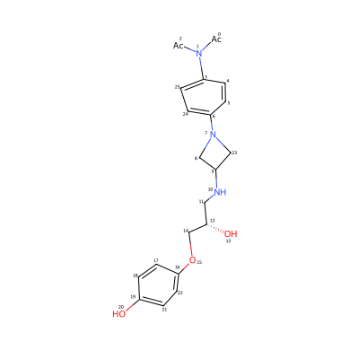 CC(=O)N(C(C)=O)c1ccc(N2CC(NC[C@H](O)COc3ccc(O)cc3)C2)cc1